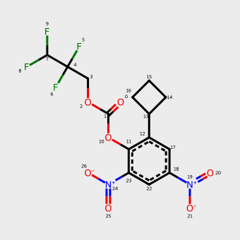 O=C(OCC(F)(F)C(F)F)Oc1c(C2CCC2)cc([N+](=O)[O-])cc1[N+](=O)[O-]